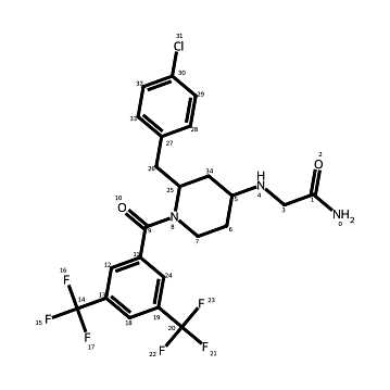 NC(=O)CNC1CCN(C(=O)c2cc(C(F)(F)F)cc(C(F)(F)F)c2)C(Cc2ccc(Cl)cc2)C1